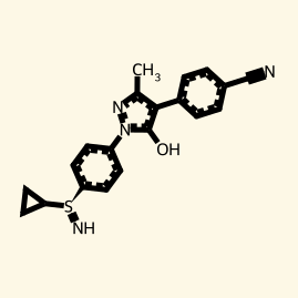 Cc1nn(-c2ccc([S@@](=N)C3CC3)cc2)c(O)c1-c1ccc(C#N)cc1